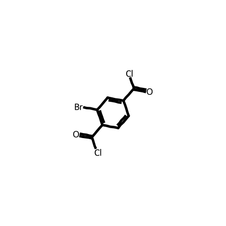 O=C(Cl)c1ccc(C(=O)Cl)c(Br)c1